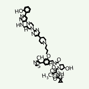 Cc1ncsc1-c1ccc(CNC(=O)[C@@H]2C[C@@H](O)CN2C(=O)[C@@H](NC(=O)C2(F)CC2)C(C)(C)C)c(OCCCCN2CCC(c3cnc(N4CCN5c6cc(-c7ccccc7O)nnc6NC[C@H]5C4)nc3)CC2)c1